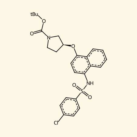 CC(C)(C)OC(=O)N1CC[C@H](Oc2ccc(NS(=O)(=O)c3ccc(Cl)cc3)c3ccccc23)C1